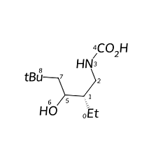 CC[C@@H](CNC(=O)O)C(O)CC(C)(C)C